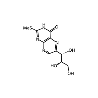 CSc1nc2ncc([C@H](O)[C@H](O)CO)nc2c(=O)[nH]1